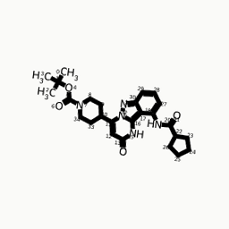 CC(C)(C)OC(=O)N1CCC(c2cc(=O)[nH]c3c4c(NC(=O)C5CCCC5)cccc4nn23)CC1